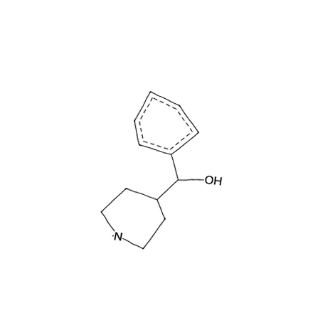 OC(c1ccccc1)C1CC[N]CC1